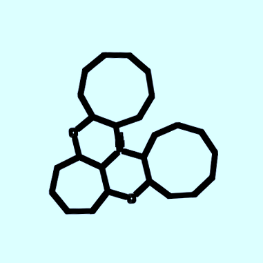 S=P12C3CCCCCCCC3OC3CCCCC(OC4CCCCCCCC41)C32